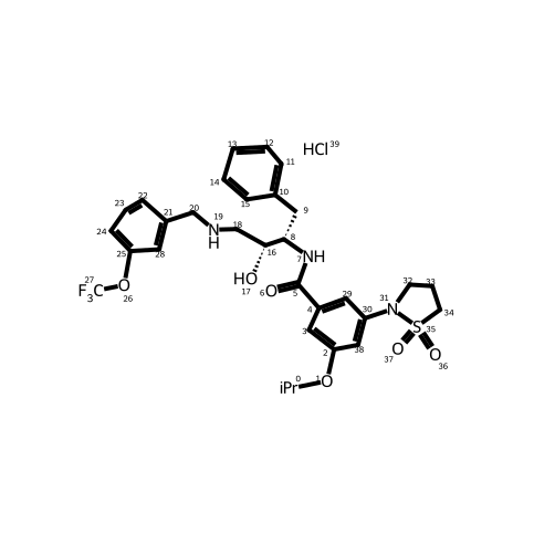 CC(C)Oc1cc(C(=O)N[C@@H](Cc2ccccc2)[C@H](O)CNCc2cccc(OC(F)(F)F)c2)cc(N2CCCS2(=O)=O)c1.Cl